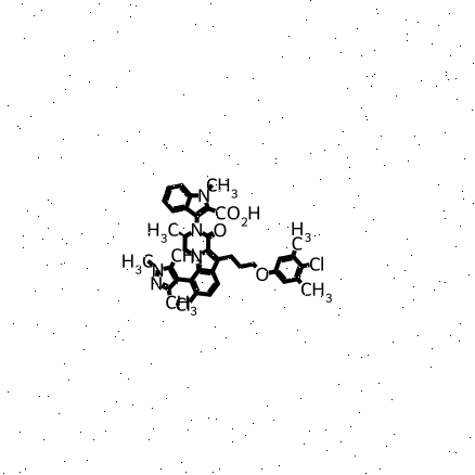 Cc1cc(OCCCc2c3n(c4c(-c5c(C)nn(C)c5C)c(Cl)ccc24)C[C@@H](C)N(c2c(C(=O)O)n(C)c4ccccc24)C3=O)cc(C)c1Cl